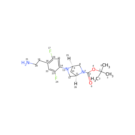 CC(C)(C)OC(=O)N1C[C@H]2C[C@@H]1CN2c1cc(F)c(CCN)cc1F